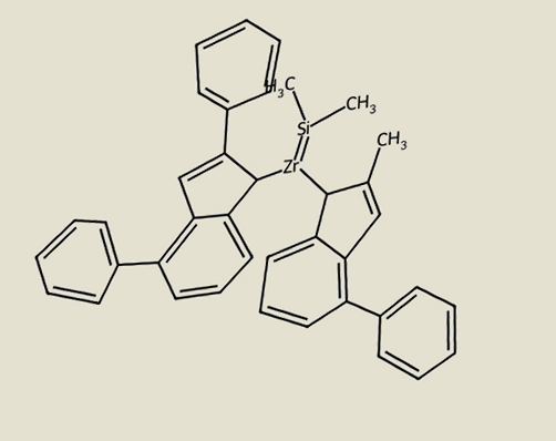 CC1=Cc2c(-c3ccccc3)cccc2[CH]1[Zr]([CH]1C(c2ccccc2)=Cc2c(-c3ccccc3)cccc21)=[Si](C)C